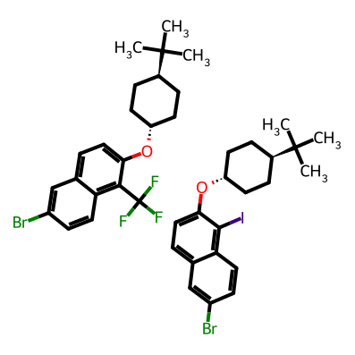 CC(C)(C)[C@H]1CC[C@H](Oc2ccc3cc(Br)ccc3c2C(F)(F)F)CC1.CC(C)(C)[C@H]1CC[C@H](Oc2ccc3cc(Br)ccc3c2I)CC1